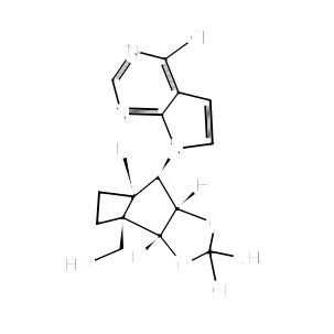 CC1(C)O[C@H]2[C@H](n3ccc4c(Cl)ncnc43)[C@H]3CC[C@@]3(CO)[C@H]2O1